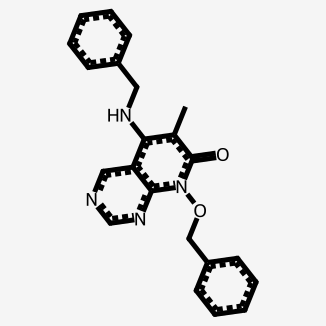 Cc1c(NCc2ccccc2)c2cncnc2n(OCc2ccccc2)c1=O